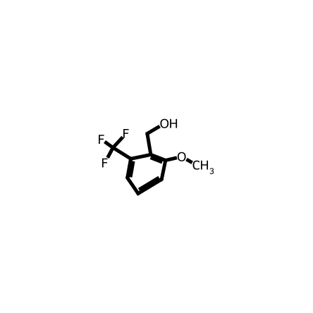 COc1cccc(C(F)(F)F)c1CO